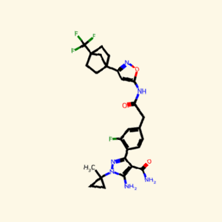 CC1(n2nc(-c3ccc(CC(=O)Nc4cc(C56CCC(C(F)(F)F)(CC5)C6)no4)cc3F)c(C(N)=O)c2N)CC1